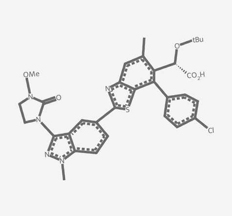 CON1CCN(c2nn(C)c3ccc(-c4nc5cc(C)c([C@H](OC(C)(C)C)C(=O)O)c(-c6ccc(Cl)cc6)c5s4)cc23)C1=O